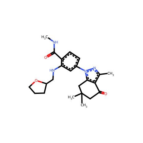 CNC(=O)c1ccc(-n2nc(C)c3c2CC(C)(C)CC3=O)cc1NCC1CCCO1